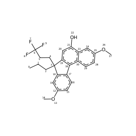 CCCC1(CCC(F)(F)F)c2cc(OC)ccc2-c2c1cc(O)c1cc(OC)ccc21